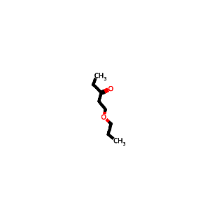 CCCOCCC(=O)CC